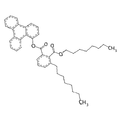 CCCCCCCCOC(=O)c1c(CCCCCCCC)cccc1C(=O)Oc1cccc2c3ccccc3c3ccccc3c12